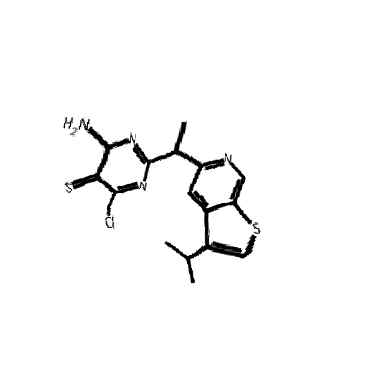 CC(C)c1csc2cnc(C(C)C3=NC(N)C(=S)C(Cl)=N3)cc12